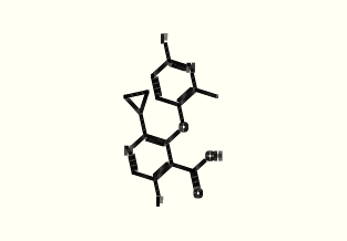 Cc1nc(F)ccc1Oc1c(C2CC2)ncc(F)c1C(=O)O